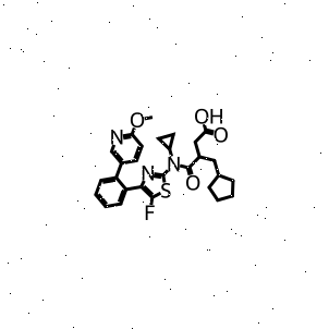 COc1ccc(-c2ccccc2-c2nc(N(C(=O)C(CC(=O)O)CC3CCCC3)C3CC3)sc2F)cn1